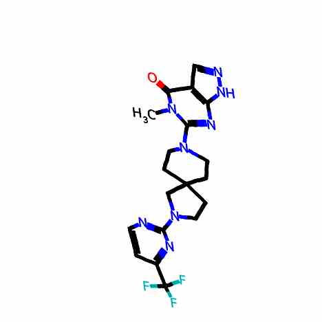 Cn1c(N2CCC3(CCN(c4nccc(C(F)(F)F)n4)C3)CC2)nc2[nH]ncc2c1=O